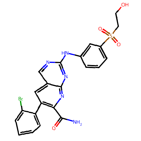 NC(=O)c1nc2nc(Nc3cccc(S(=O)(=O)CCO)c3)ncc2cc1-c1ccccc1Br